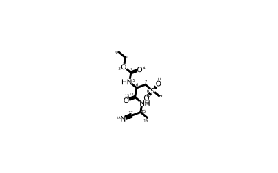 CCOC(=O)NC(CS(C)(=O)=O)C(=O)NC(C)C#N